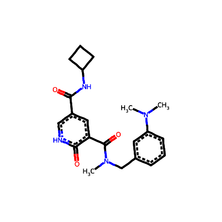 CN(Cc1cccc(N(C)C)c1)C(=O)c1cc(C(=O)NC2CCC2)c[nH]c1=O